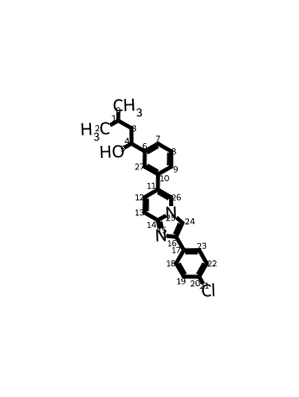 CC(C)CC(O)c1cccc(-c2ccc3nc(-c4ccc(Cl)cc4)cn3c2)c1